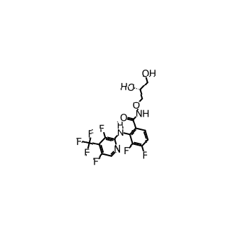 O=C(NOC[C@H](O)CO)c1ccc(F)c(F)c1Nc1ncc(F)c(C(F)(F)F)c1F